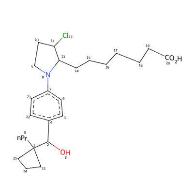 CCCC1(C(O)c2ccc(N3CCC(Cl)C3CCCCCCC(=O)O)cc2)CCC1